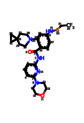 O=C(Nc1cccc(N2CCOCC2)n1)c1ccc(NSCC(F)(F)F)cc1N1CCC2(CC1)CC2